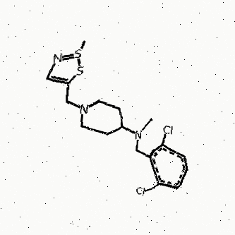 CN(Cc1c(Cl)cccc1Cl)C1CCN(CC2=CN=S(C)S2)CC1